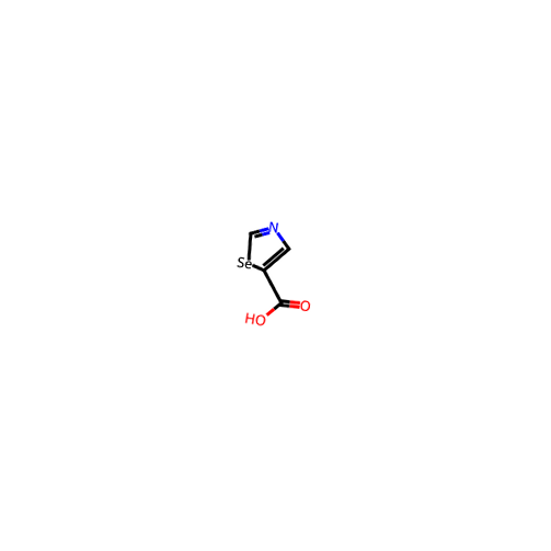 O=C(O)c1cnc[se]1